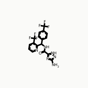 Nc1n[nH]c(C(=O)NC(c2ccc(C(F)(F)F)cc2)c2ncccc2C(F)(F)F)n1